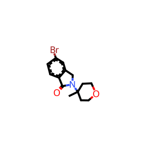 CC1(N2Cc3cc(Br)ccc3C2=O)CCOCC1